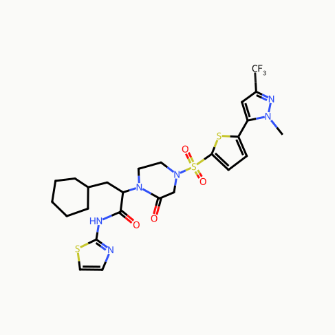 Cn1nc(C(F)(F)F)cc1-c1ccc(S(=O)(=O)N2CCN(C(CC3CCCCC3)C(=O)Nc3nccs3)C(=O)C2)s1